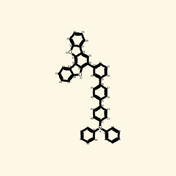 c1ccc(N(c2ccccc2)c2ccc(-c3ccc(-c4cccc(-c5cc6c7ccccc7oc6c6c5oc5ccccc56)c4)cc3)cc2)cc1